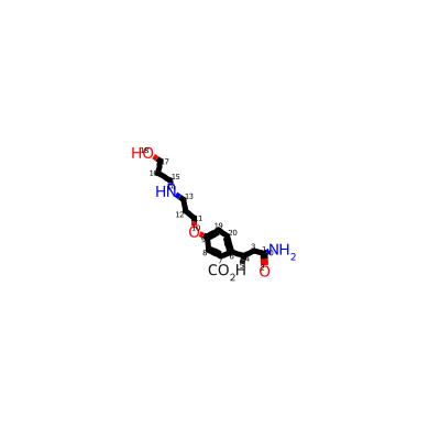 NC(=O)CC(C(=O)O)c1ccc(OCCCNCCCO)cc1